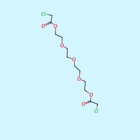 O=C(CCl)OCCOCCOCCOCCOC(=O)CCl